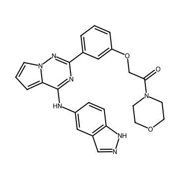 O=C(COc1cccc(-c2nc(Nc3ccc4[nH]ncc4c3)c3cccn3n2)c1)N1CCOCC1